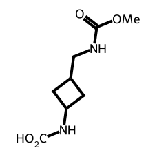 COC(=O)NCC1CC(NC(=O)O)C1